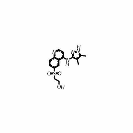 Cc1[nH]nc(Nc2ccnc3ccc(S(=O)(=O)CCO)cc23)c1C